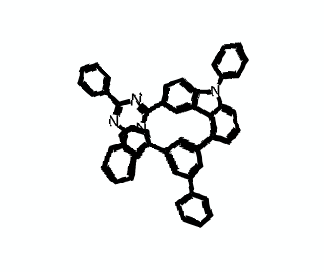 c1ccc(-c2cc(-c3ccccc3)cc(-c3cccc4c3c3cc(-c5nc(-c6ccccc6)nc(-c6ccccc6)n5)ccc3n4-c3ccccc3)c2)cc1